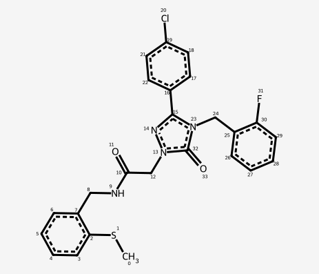 CSc1ccccc1CNC(=O)Cn1nc(-c2ccc(Cl)cc2)n(Cc2ccccc2F)c1=O